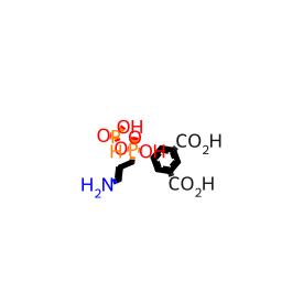 NC=CCP(=O)(O)O[PH](=O)O.O=C(O)c1cccc(C(=O)O)c1